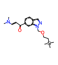 CN(C)C=CC(=O)c1ccc2cnn(COCC[Si](C)(C)C)c2c1